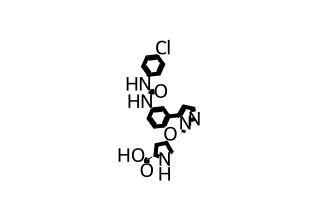 Cn1nccc1-c1cc(NC(=O)Nc2ccc(Cl)cc2)ccc1O[C@@H]1CN[C@H](C(=O)O)C1